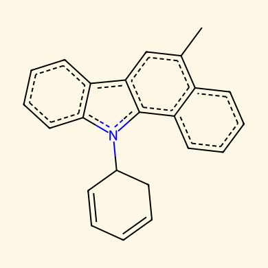 Cc1cc2c3ccccc3n(C3C=CC=CC3)c2c2ccccc12